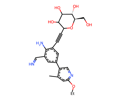 CCOc1cc(C)c(-c2cc(C#CC3O[C@H](CO)[C@@H](O)C(O)C3O)c(N)c(C=N)c2)cn1